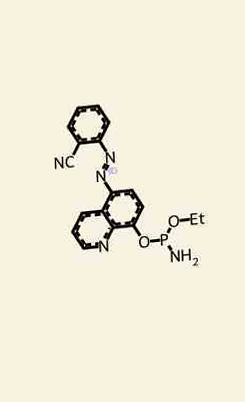 CCOP(N)Oc1ccc(/N=N/c2ccccc2C#N)c2cccnc12